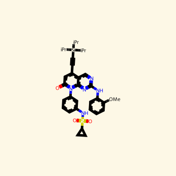 COc1ccccc1Nc1ncc2c(C#C[Si](C(C)C)(C(C)C)C(C)C)cc(=O)n(-c3cccc(NS(=O)(=O)C4CC4)c3)c2n1